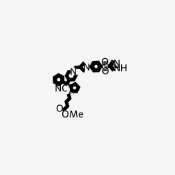 COC(=O)CCCC[C@H]1CCC[C@@H]1C(C#N)(c1ccccc1)C1CCN(CC2CN(c3ccc(S(=O)(=O)c4cn[nH]c4)cc3)C2)CC1